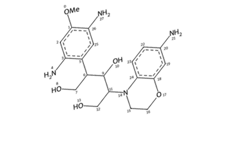 COc1cc(N)c(C(CO)C(O)C(CO)N2CCOc3cc(N)ccc32)cc1N